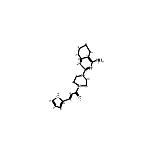 Nc1nc(N2CCN(C(=O)/C=C/c3ccco3)CC2)nc2c1CCCC2